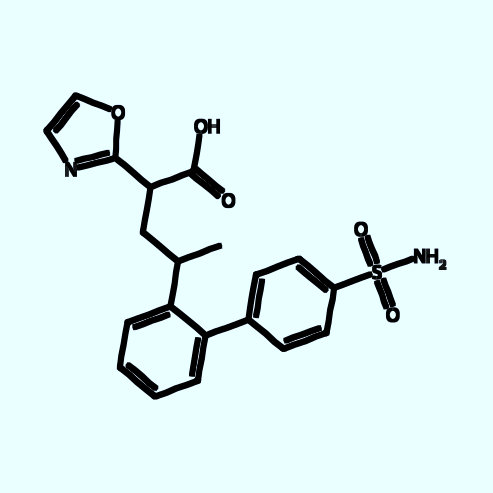 CC(CC(C(=O)O)c1ncco1)c1ccccc1-c1ccc(S(N)(=O)=O)cc1